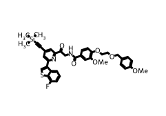 COc1ccc(COCCOc2ccc(C(=O)NCC(=O)c3cc(C#C[Si](C)(C)C)cc(-c4csc5c(F)cccc45)n3)cc2OC)cc1